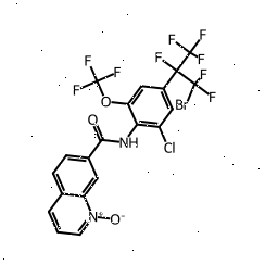 O=C(Nc1c(Cl)cc(C(F)(C(F)(F)F)C(F)(F)Br)cc1OC(F)(F)F)c1ccc2ccc[n+]([O-])c2c1